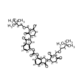 C[Si](C)(C)CCOCN1C(=O)CCC(N2Cc3c(OC(=O)Oc4cccc5c4CN(C4CCC(=O)N(COCC[Si](C)(C)C)C4=O)C5=O)cccc3C2=O)C1=O